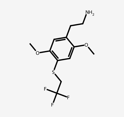 COc1cc(SCC(F)(F)F)c(OC)cc1CCN